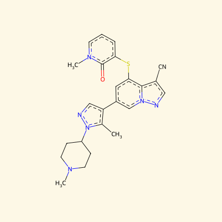 Cc1c(-c2cc(Sc3cccn(C)c3=O)c3c(C#N)cnn3c2)cnn1C1CCN(C)CC1